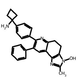 Cc1nc2c(n1O)CCc1nc(-c3ccc(C4(N)CCC4)cc3)c(-c3ccccc3)cc1-2